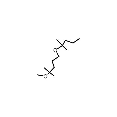 CCCC(C)(C)OCCCC(C)(C)OC